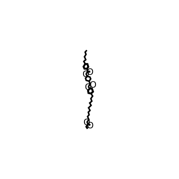 C=CC(=O)OCCCCCCCCCCCc1ccc(OC(=O)C2CCC(OC(=O)c3ccc(CCCCCC)cc3)CC2)cc1